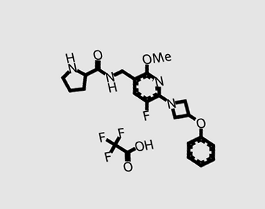 COc1nc(N2CC(Oc3ccccc3)C2)c(F)cc1CNC(=O)C1CCCN1.O=C(O)C(F)(F)F